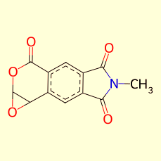 CN1C(=O)c2cc3c(cc2C1=O)C1OC1OC3=O